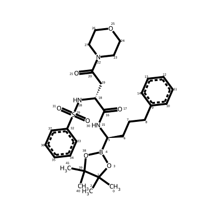 CC1(C)OB([C@H](CCCc2ccccc2)NC(=O)[C@@H](CC(=O)N2CCOCC2)NS(=O)(=O)c2ccccc2)OC1(C)C